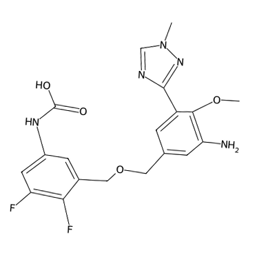 COc1c(N)cc(COCc2cc(NC(=O)O)cc(F)c2F)cc1-c1ncn(C)n1